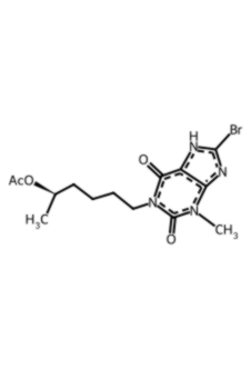 CC(=O)O[C@H](C)CCCCn1c(=O)c2[nH]c(Br)nc2n(C)c1=O